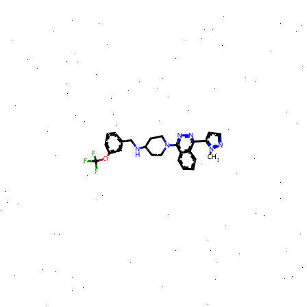 Cn1nccc1-c1nnc(N2CCC(NCc3cccc(OC(F)(F)F)c3)CC2)c2ccccc12